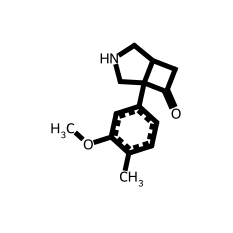 COc1cc(C23CNCC2CC3=O)ccc1C